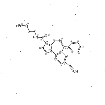 C#Cc1ccc2c(c1)C(c1ccccc1)=NCc1c(C(=O)NCCOCCC)ncn1-2